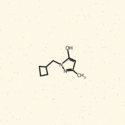 Cc1cc(O)n(CC2CCC2)n1